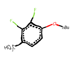 CCCCOc1ccc(C(=O)O)c(F)c1F